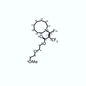 COCCOCCOC(=O)/C(=C(/F)N1CCCCCCCC1)C(F)(F)F